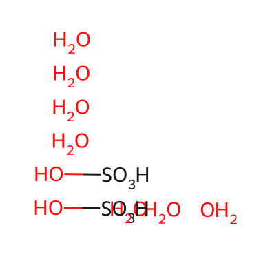 O.O.O.O.O.O.O.O=S(=O)(O)O.O=S(=O)(O)O